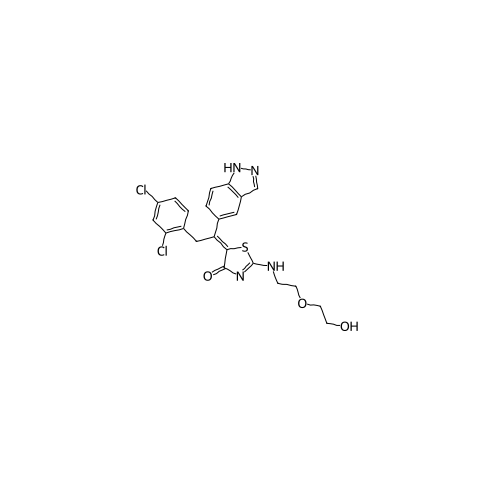 O=C1N=C(NCCOCCO)SC1=C(Cc1ccc(Cl)cc1Cl)c1ccc2[nH]ncc2c1